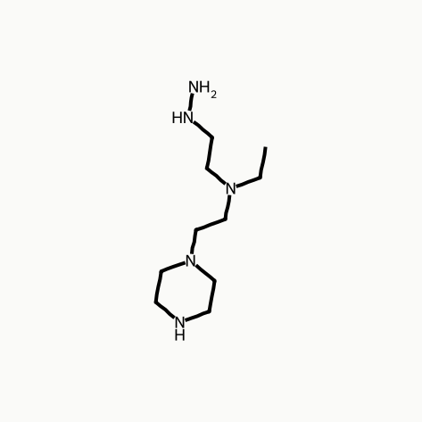 CCN(CCNN)CCN1CCNCC1